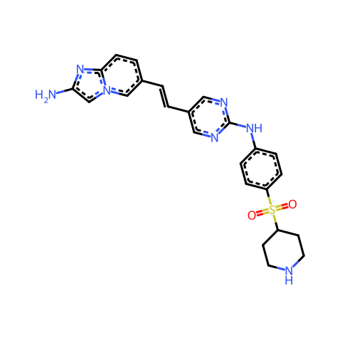 Nc1cn2cc(C=Cc3cnc(Nc4ccc(S(=O)(=O)C5CCNCC5)cc4)nc3)ccc2n1